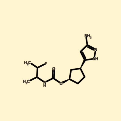 CC(F)C(C)NC(=O)O[C@@H]1CC[C@H](c2cc(N)n[nH]2)C1